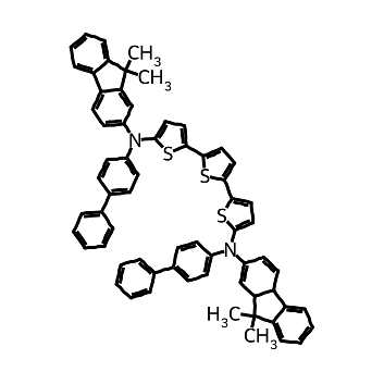 CC1(C)c2ccccc2-c2ccc(N(c3ccc(-c4ccccc4)cc3)c3ccc(-c4ccc(-c5ccc(N(C6=CC7C(C=C6)c6ccccc6C7(C)C)c6ccc(-c7ccccc7)cc6)s5)s4)s3)cc21